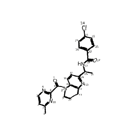 Cc1ccnc(C(=O)N2CCCc3nc(C(C)NC(=O)c4ccc(Cl)cc4)ccc32)n1